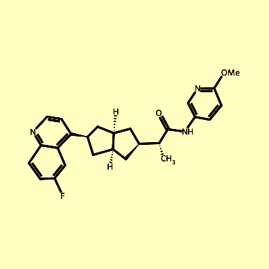 COc1ccc(NC(=O)[C@H](C)[C@H]2C[C@H]3C[C@@H](c4ccnc5ccc(F)cc45)C[C@H]3C2)cn1